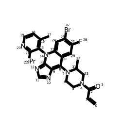 C=CC(=O)N1CCN(c2c3ncnc-3n(-c3c(C)ccnc3C(C)C)c3cc(Br)c(F)cc23)C(C)C1